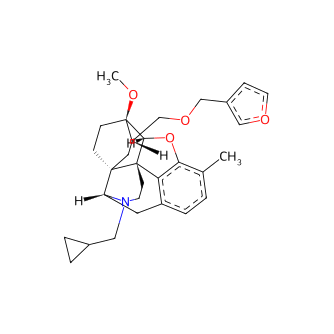 CO[C@]12CC[C@@]3(C[C@H]1COCc1ccoc1)[C@H]1Cc4ccc(C)c5c4[C@@]3(CCN1CC1CC1)[C@H]2O5